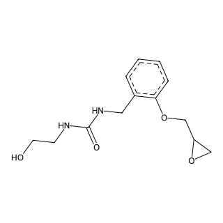 O=C(NCCO)NCc1ccccc1OCC1CO1